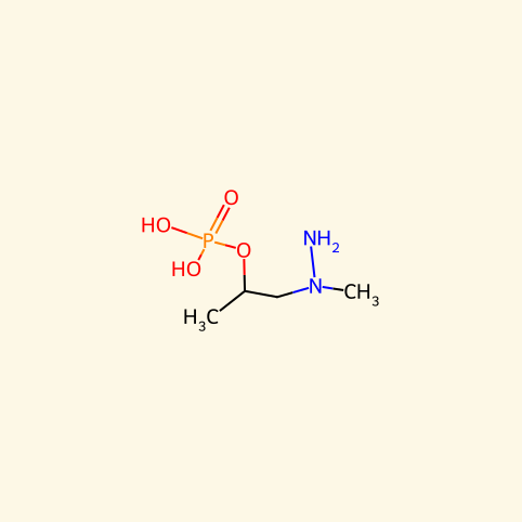 CC(CN(C)N)OP(=O)(O)O